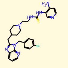 Nc1ccncc1NC(=S)NCCN1CCC(Cc2nc3cccnc3n2Cc2ccc(F)cc2)CC1